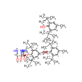 Cc1cc(C(C)(C)C)c(O)c(C(C)(C)C)c1.Cc1cc(C(C)(C)C)c(O)c(C(C)(C)C)c1.Cc1cc(C(C)(C)C)c(O)c(C(C)(C)C)c1.N=C=O.N=C=O.N=C=O